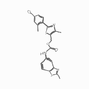 Cc1nc2cc(NC(=O)OCc3sc(-c4ccc(Cl)cc4C)nc3C)ccc2s1